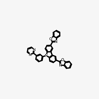 c1cnc(-c2cccc(-n3c4ccc(-c5nc6ccccc6o5)cc4c4cc(-c5nc6ccccc6o5)ccc43)c2)nc1